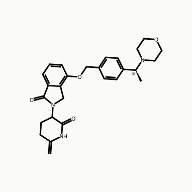 C=C1CCC(N2Cc3c(OCc4ccc([C@H](C)N5CCOCC5)cc4)cccc3C2=O)C(=O)N1